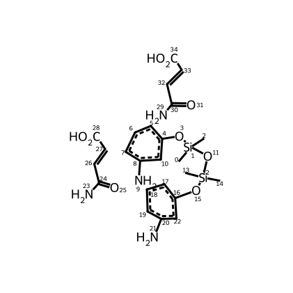 C[Si](C)(Oc1cccc(N)c1)O[Si](C)(C)Oc1cccc(N)c1.NC(=O)C=CC(=O)O.NC(=O)C=CC(=O)O